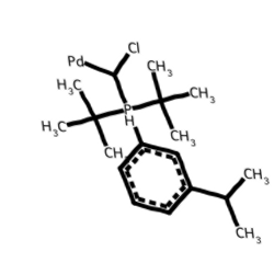 CC(C)c1cccc([PH]([CH](Cl)[Pd])(C(C)(C)C)C(C)(C)C)c1